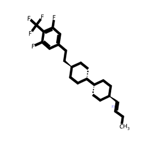 CC/C=C/[C@H]1CC[C@H]([C@H]2CC[C@H](CCc3cc(F)c(C(F)(F)F)c(F)c3)CC2)CC1